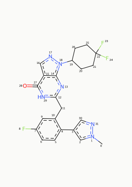 Cn1cc(-c2ccc(F)cc2Cc2nc3c(cnn3C3CCC(F)(F)CC3)c(=O)[nH]2)cn1